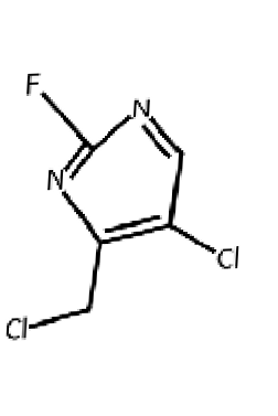 Fc1ncc(Cl)c(CCl)n1